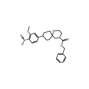 COc1cc(C2CCC3(CC2)CN(C(=O)OCc2ccccc2)CCO3)ccc1[N+](=O)[O-]